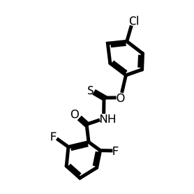 O=C(NC(=S)Oc1ccc(Cl)cc1)c1c(F)cccc1F